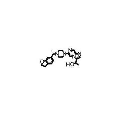 CC(O)c1cnc2cnc(N3CCN([C@@H](C)c4ccc5c(c4)OCC5)CC3)cn12